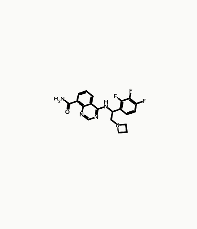 NC(=O)c1cccc2c(NC(CN3CCC3)c3ccc(F)c(F)c3F)ncnc12